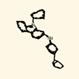 c1ccc(-n2c3ccccc3c3ccc(Nc4ccc(C5CC6CCC5C6)cc4)cc32)cc1